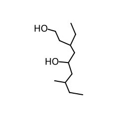 CCC(C)CC(O)CC(CC)CCO